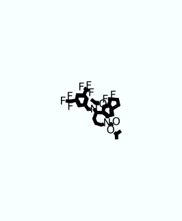 CC(=O)N(Cc1cc(C(F)(F)F)cc(C(F)(F)F)c1)C1CCCN(C(=O)OC(C)C)c2cc3c(cc21)C(F)(F)CC3